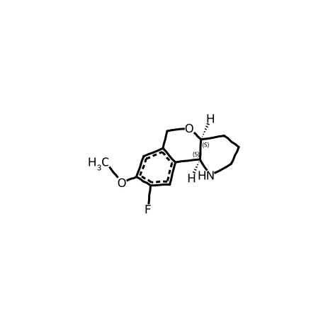 COc1cc2c(cc1F)[C@@H]1NCCC[C@@H]1OC2